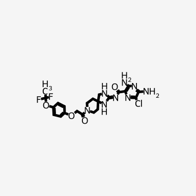 CC(F)(F)Oc1ccc(OCC(=O)N2CCC3(CC2)CN/C(=N\C(=O)c2nc(Cl)c(N)nc2N)N3)cc1